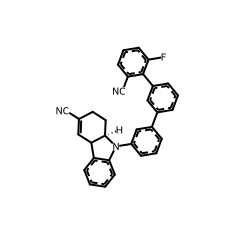 N#CC1=CC2c3ccccc3N(c3cccc(-c4cccc(-c5c(F)cccc5C#N)c4)c3)[C@@H]2CC1